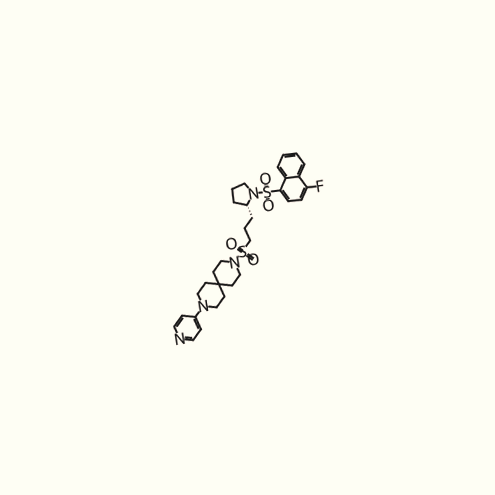 O=S(=O)(CCC[C@@H]1CCCN1S(=O)(=O)c1ccc(F)c2ccccc12)N1CCC2(CCN(c3ccncc3)CC2)CC1